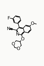 COc1ccc2c(OC3COCOC3)nc(C#N)c(-c3cccc(F)c3)c2c1